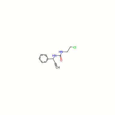 C#CC(NC(=O)NCCCl)c1ccccc1